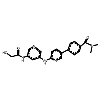 CN(C)C(=O)c1ccc(-c2ccc([AsH]c3cncc(NC(=O)CC#N)c3)nc2)cc1